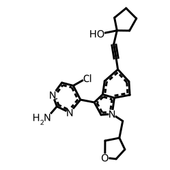 Nc1ncc(Cl)c(-c2cn(CC3CCOC3)c3ccc(C#CC4(O)CCCC4)cc23)n1